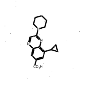 O=C(O)c1cc(C2CC2)c2nc(N3CCCCC3)cnc2c1